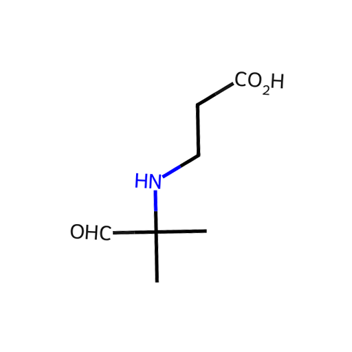 CC(C)(C=O)NCCC(=O)O